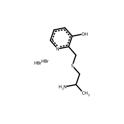 Br.Br.CC(N)CSCc1ncccc1O